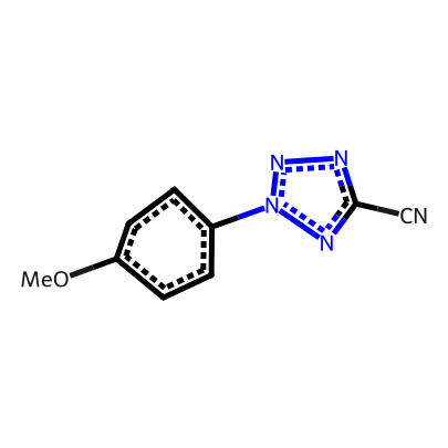 COc1ccc(-n2nnc(C#N)n2)cc1